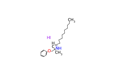 CCCCCCCCCCCNC(C)(C)COc1ccccc1.I